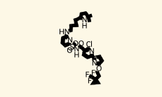 CC1(C)CCC(CCCCNc2cccc(S(=O)(=O)NC(=O)c3ccc(-n4ccc(OCCC5(C(F)(F)F)CC5)n4)nc3Cl)n2)N1